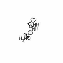 COc1ccccc1NC(=O)Nc1ccc(S(N)(=O)=O)cc1